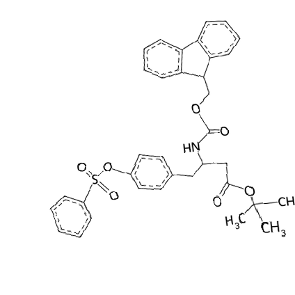 CC(C)(C)OC(=O)CC(Cc1ccc(OS(=O)(=O)c2ccccc2)cc1)NC(=O)OCC1c2ccccc2-c2ccccc21